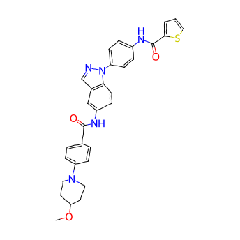 COC1CCN(c2ccc(C(=O)Nc3ccc4c(cnn4-c4ccc(NC(=O)c5cccs5)cc4)c3)cc2)CC1